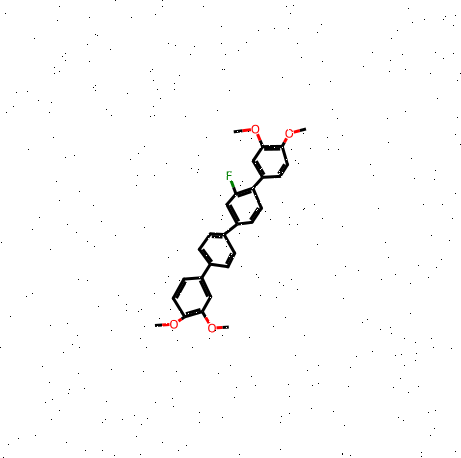 COc1ccc(-c2ccc(-c3ccc(-c4ccc(OC)c(OC)c4)c(F)c3)cc2)cc1OC